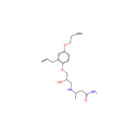 C=CCc1cc(OCCSC)ccc1OCC(O)CNC(C)CC(N)=O